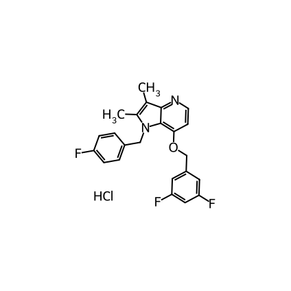 Cc1c(C)n(Cc2ccc(F)cc2)c2c(OCc3cc(F)cc(F)c3)ccnc12.Cl